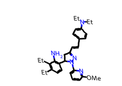 CCc1ccc(C2CC(C=Cc3ccc(N(CC)CC)cc3)=NN2c2cccc(OC)n2)c(N)c1CC